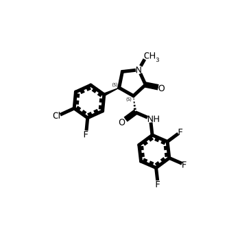 CN1C[C@H](c2ccc(Cl)c(F)c2)[C@@H](C(=O)Nc2ccc(F)c(F)c2F)C1=O